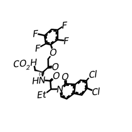 CCC(C(=O)N[C@@H](CC(=O)O)C(=O)COc1c(F)c(F)cc(F)c1F)n1ccc2cc(Cl)c(Cl)cc2c1=O